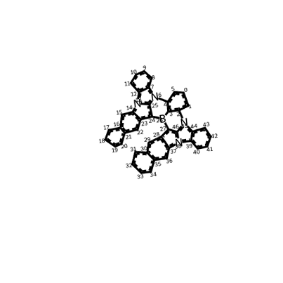 c1cc2c3c(c1)-n1c4ccccc4n4c5cc6ccccc6cc5c(c14)B3c1c3cc4ccccc4cc3n3c4ccccc4n-2c13